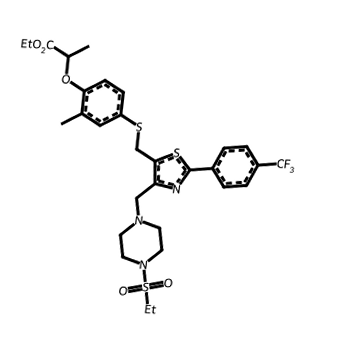 CCOC(=O)C(C)Oc1ccc(SCc2sc(-c3ccc(C(F)(F)F)cc3)nc2CN2CCN(S(=O)(=O)CC)CC2)cc1C